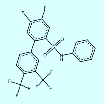 O=S(=O)(Nc1ccccc1)c1cc(F)c(F)cc1-c1ccc(C(F)(F)F)c(C(F)(F)F)c1